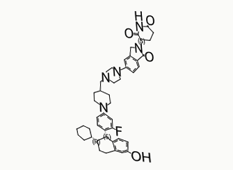 O=C1CC[C@H](N2Cc3cc(N4CCN(CC5CCN(c6ccc([C@@H]7c8ccc(O)cc8CC[C@@H]7C7CCCCC7)c(F)c6)CC5)CC4)ccc3C2=O)C(=O)N1